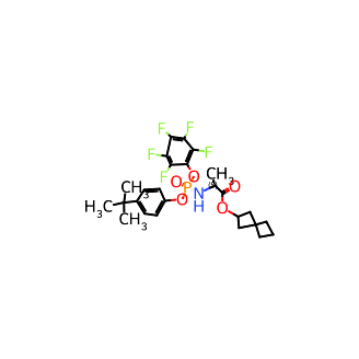 C[C@H](NP(=O)(Oc1ccc(C(C)(C)C)cc1)Oc1c(F)c(F)c(F)c(F)c1F)C(=O)OC1CC2(CCC2)C1